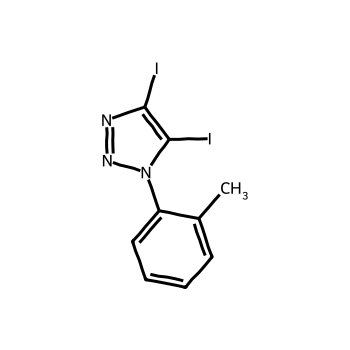 Cc1ccccc1-n1nnc(I)c1I